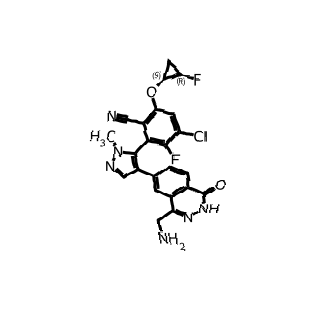 Cn1ncc(-c2ccc3c(=O)[nH]nc(CN)c3c2)c1-c1c(F)c(Cl)cc(O[C@H]2C[C@H]2F)c1C#N